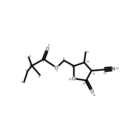 CCC(C)(C)C(=O)OCC1OC(=O)C(C#N)C1C